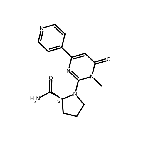 Cn1c(N2CCC[C@H]2C(N)=O)nc(-c2ccncc2)cc1=O